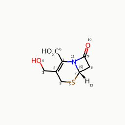 O=C(O)C1=C(CO)CS[C@H]2CC(=O)N12